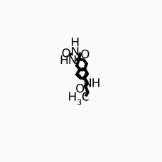 CCC(=O)Nc1ccc2c(c1)CCC1(C2)NC(=O)NC1=O